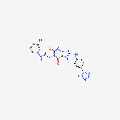 Cn1c(Nc2ccc(-c3nnn[nH]3)cc2)nc2c1c(=O)n(Cc1cc3c(Cl)cccc3[nH]1)c(=O)n2C